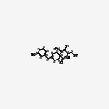 CCCN1C(=O)C(CC(C)C)NC(=O)C12CCN(Cc1cccc(C#N)c1)CC2